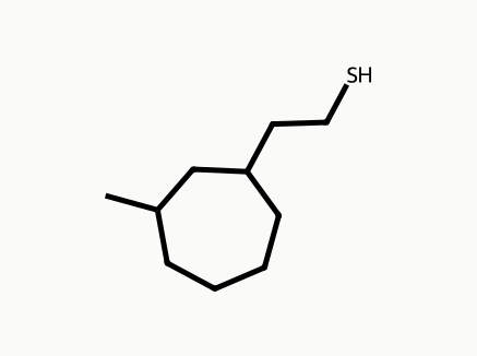 CC1CCCCC(CCS)C1